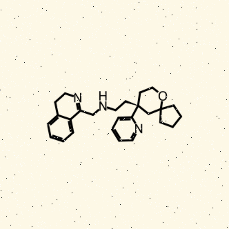 c1ccc([C@]2(CCNCC3=NCCc4ccccc43)CCOC3(CCCC3)C2)nc1